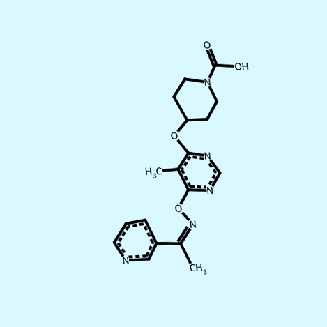 C/C(=N/Oc1ncnc(OC2CCN(C(=O)O)CC2)c1C)c1cccnc1